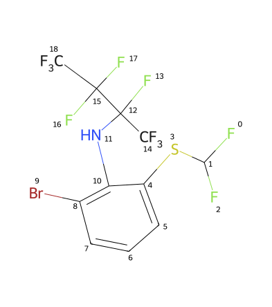 FC(F)Sc1cccc(Br)c1NC(F)(C(F)(F)F)C(F)(F)C(F)(F)F